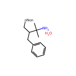 CCCCCCCCCCC(Cc1ccccc1)C(C)(C)N.O